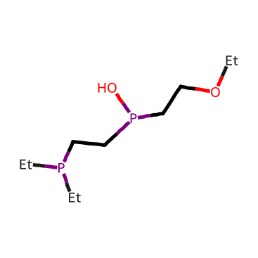 CCOCCP(O)CCP(CC)CC